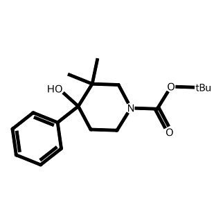 CC(C)(C)OC(=O)N1CCC(O)(c2ccccc2)C(C)(C)C1